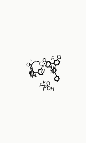 C[C@@H]1CCC[C@H](n2cnc(-c3c(-n4cc(-c5ccccc5)nn4)ccc(Cl)c3F)cc2=O)c2cc(ccn2)-c2c(cnn2C)NC1=O.O=C(O)C(F)(F)F